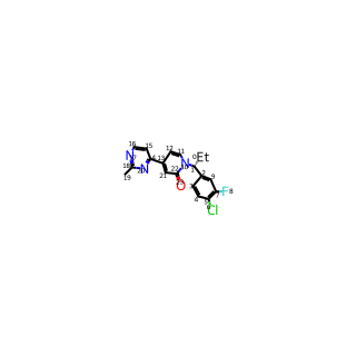 CC[C@H](c1ccc(Cl)c(F)c1)n1ccc(-c2ccnc(C)n2)cc1=O